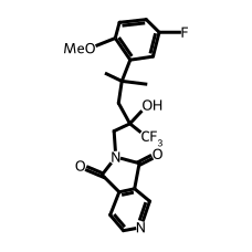 COc1ccc(F)cc1C(C)(C)CC(O)(CN1C(=O)c2ccncc2C1=O)C(F)(F)F